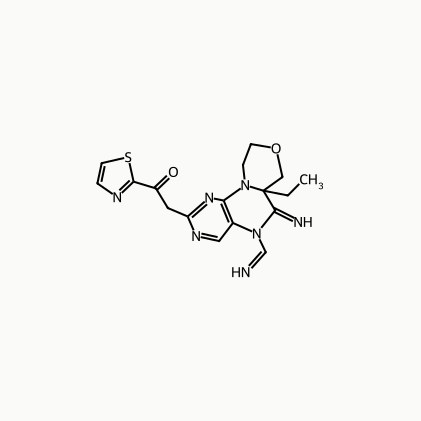 CCC12COCCN1c1nc(CC(=O)c3nccs3)ncc1N(C=N)C2=N